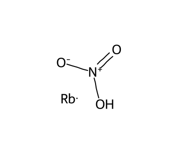 O=[N+]([O-])O.[Rb]